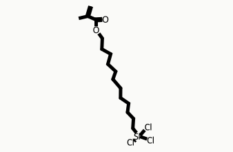 C=C(C)C(=O)OCCCCCCCCCCCC[Si](Cl)(Cl)Cl